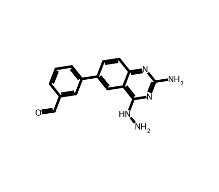 NNc1nc(N)nc2ccc(-c3cccc(C=O)c3)cc12